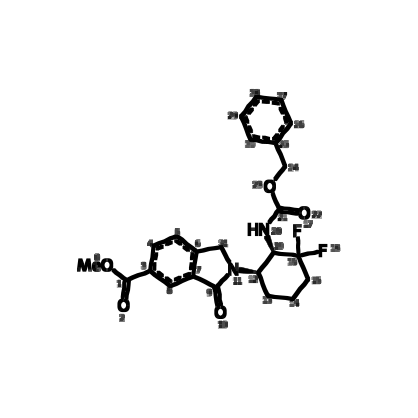 COC(=O)c1ccc2c(c1)C(=O)N([C@@H]1CCCC(F)(F)[C@@H]1NC(=O)OCc1ccccc1)C2